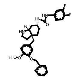 COc1ccc(C[C@@]23CCN[C@H]2C[C@H](NC(=O)Nc2ccc(F)c(F)c2)CC3)cc1OCc1ccccc1